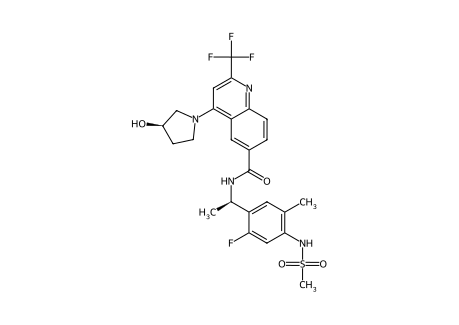 Cc1cc([C@@H](C)NC(=O)c2ccc3nc(C(F)(F)F)cc(N4CC[C@@H](O)C4)c3c2)c(F)cc1NS(C)(=O)=O